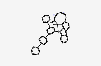 C=C1/C=C\C=C/Cc2ccc3c4ccccc4n(-c4cc(-c5ccccc5)cc(-c5ccc(-c6ccccc6)cc5)c4)c3c2C1(C)C